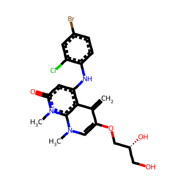 C=C1C(OC[C@H](O)CO)=CN(C)c2c1c(Nc1ccc(Br)cc1Cl)cc(=O)n2C